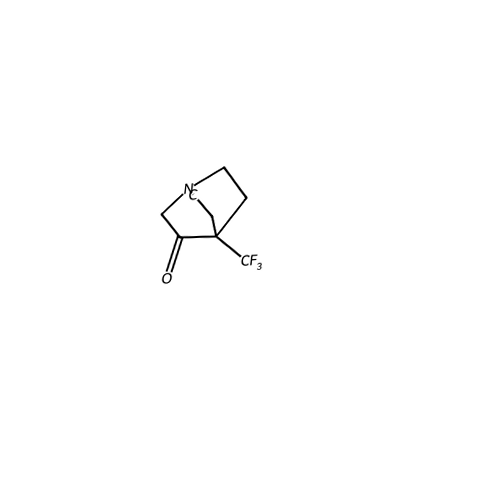 O=C1CN2CCC1(C(F)(F)F)CC2